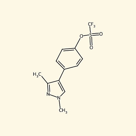 Cc1nn(C)cc1-c1ccc(OS(=O)(=O)C(F)(F)F)cc1